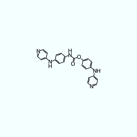 O=C(Nc1ccc(Nc2ccncc2)cc1)Oc1ccc(Nc2ccncc2)cc1